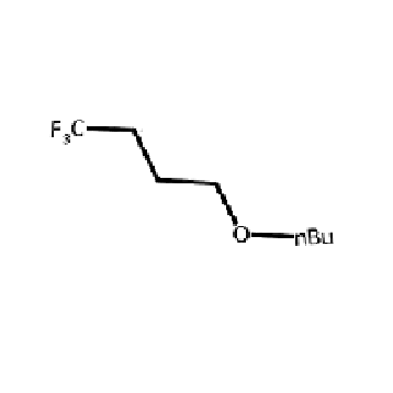 CCCCOCC[CH]C(F)(F)F